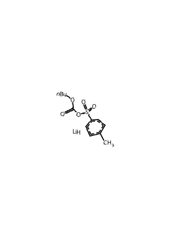 CCCCOC(=O)OS(=O)(=O)c1ccc(C)cc1.[LiH]